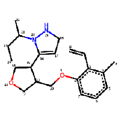 C=Cc1c(C)cccc1OCC1COCC1C1=CCNN1C(C)CC